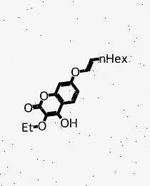 CCCCCCC=COc1ccc2c(O)c(OCC)c(=O)oc2c1